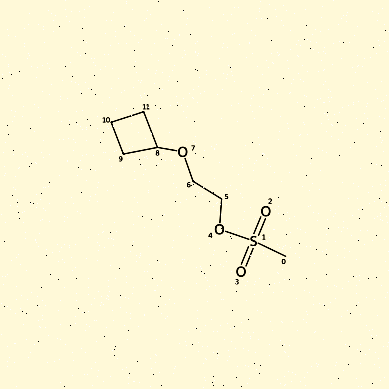 CS(=O)(=O)OCCOC1CCC1